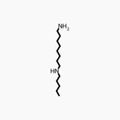 CCCCCNCCCCCCCCN